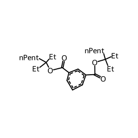 CCCCCC(CC)(CC)OC(=O)c1cccc(C(=O)OC(CC)(CC)CCCCC)c1